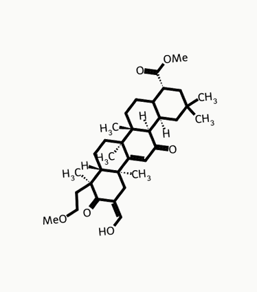 COCC[C@]1(C)C(=O)/C(=C\O)C[C@]2(C)C3=CC(=O)[C@@H]4[C@@H]5CC(C)(C)C[C@@H](C(=O)OC)C5CC[C@@]4(C)[C@]3(C)CC[C@@H]12